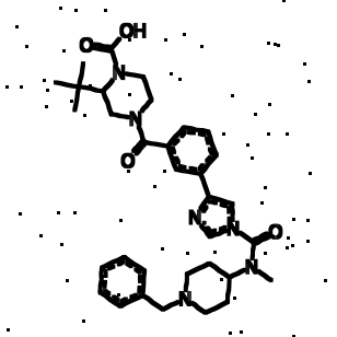 CN(C(=O)n1cnc(-c2cccc(C(=O)N3CCN(C(=O)O)C(C(C)(C)C)C3)c2)c1)C1CCN(Cc2ccccc2)CC1